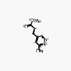 COC(=O)CCc1cnnc(O)c1